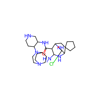 NC1NC2CC(Cl)CNC(CC23CCCC3)C1C(=O)NC1CNCCC1N1CCN2CCC1CC2